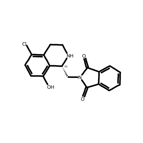 O=C1c2ccccc2C(=O)N1C[C@H]1NCCc2c(Cl)ccc(O)c21